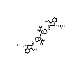 O=[SH](=O)c1cc(/N=N/c2cc(S(=O)(=O)O)c3ccccc3c2O)ccc1/C=C/c1ccc(/N=N/c2cc(S(=O)(=O)O)c3ccccc3c2O)cc1[SH](=O)=O